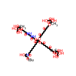 CC1C(OCCCCC(=O)CCCCCC(=O)CCOCC(COCCC(=O)CCCCCC(=O)CCCCOC2OC(CO)C(O)C(O)C2C)(COCCC(=O)NCCCNC(=O)CCCCOC2OC(CO)C(O)C(O)C2C)CC(=O)CCCCCCCCCCC(=O)N2C[C@H](O)C[C@H]2COC(C)(C)C)OC(CO)C(O)C1O